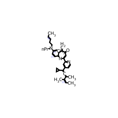 C=C1CC(/C=C\C(=C/C)N(CCC)CC/C=C/C)=NC(c2cc(C(=C=C(C)/C(C)=C\C)C3CC3)ccn2)=CC1=O